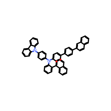 c1ccc(N(c2ccc(-c3ccc(-c4ccc5ccccc5c4)cc3)cc2)c2ccc(-n3c4ccccc4c4ccccc43)cc2)c(-c2cccc3ccccc23)c1